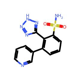 NS(=O)(=O)c1cccc(-c2cccnc2)c1-c1nn[nH]n1